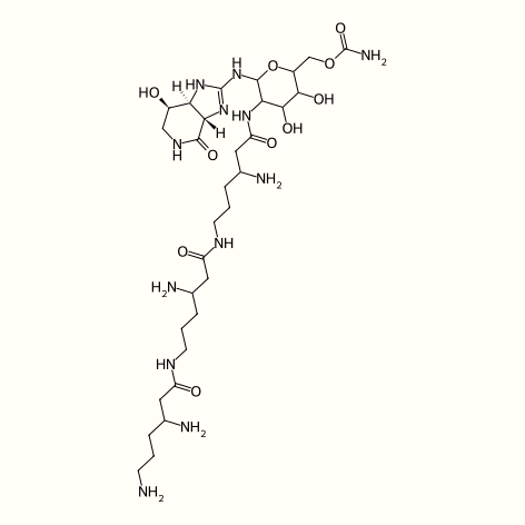 NCCCC(N)CC(=O)NCCCC(N)CC(=O)NCCCC(N)CC(=O)NC1C(NC2=N[C@@H]3C(=O)NC[C@@H](O)[C@H]3N2)OC(COC(N)=O)C(O)C1O